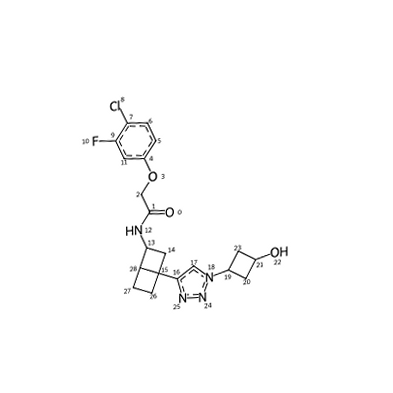 O=C(COc1ccc(Cl)c(F)c1)NC1CC2(c3cn(C4CC(O)C4)nn3)CCC12